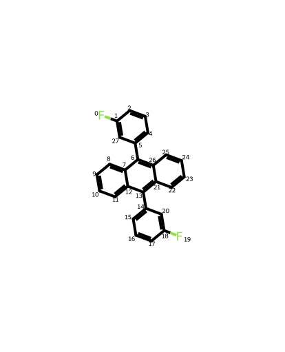 Fc1cccc(-c2c3ccccc3c(-c3cccc(F)c3)c3ccccc23)c1